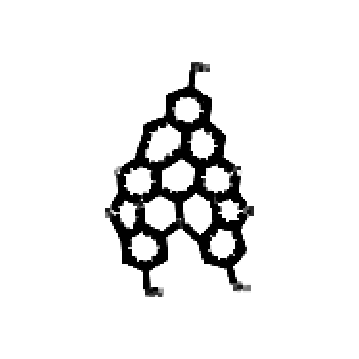 CC(C)(C)c1cc2cc3oc4nc5cc(C(C)(C)C)cc6c5n4c4c5c7c8c(cc(c1)c2c8c34)oc1nc2cc(C(C)(C)C)cc(c2n17)B65